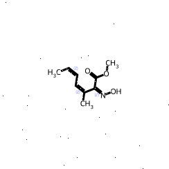 C\C=C/C=C(C)\C(=N\O)C(=O)OC